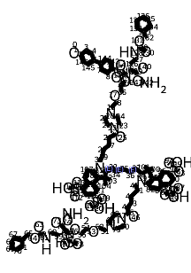 COc1ccc(-c2ccc(S(=O)(=O)N(OCCOCCN3CCN(C(=O)CCCCCN4/C(=C/C=C/C=C/C5=[N+](CCCCCC(=O)N6CCN(CCOCCON([C@@H](CCNC(=O)OCc7ccccc7)C(=O)ON)[SH](=O)=O)CC6)c6ccc7c(S(=O)(=O)O)cc(S(=O)(=O)O)cc7c6C5(C)C)C(C)(C)c5c4ccc4c(S(=O)(=O)O)cc(S(=O)(=O)O)cc54)CC3)[C@H](CCNC(=O)OCc3ccccc3)C(=O)ON)cc2)cc1